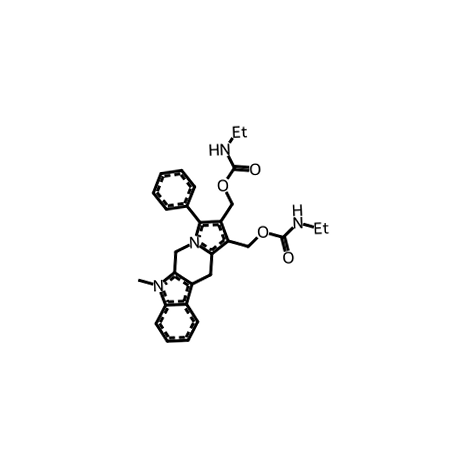 CCNC(=O)OCc1c(COC(=O)NCC)c(-c2ccccc2)n2c1Cc1c(n(C)c3ccccc13)C2